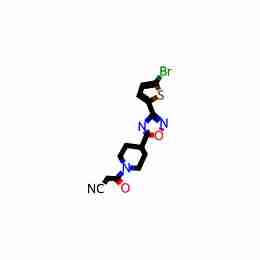 N#CCC(=O)N1CCC(c2nc(-c3ccc(Br)s3)no2)CC1